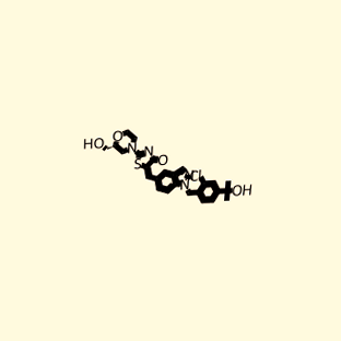 CC(C)(O)c1ccc(Cn2ncc3cc(C=C4SC(N5CCO[C@@H](CO)C5)=NC4=O)ccc32)c(Cl)c1